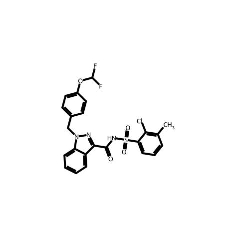 Cc1cccc(S(=O)(=O)NC(=O)c2nn(Cc3ccc(OC(F)F)cc3)c3ccccc23)c1Cl